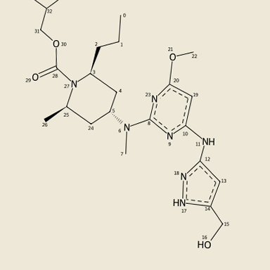 CCC[C@H]1C[C@H](N(C)c2nc(Nc3cc(CO)[nH]n3)cc(OC)n2)C[C@@H](C)N1C(=O)OCC(C)C